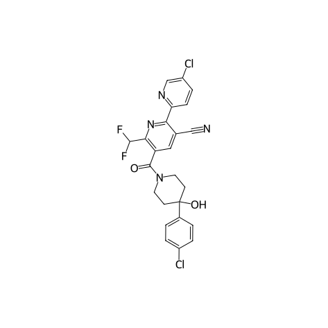 N#Cc1cc(C(=O)N2CCC(O)(c3ccc(Cl)cc3)CC2)c(C(F)F)nc1-c1ccc(Cl)cn1